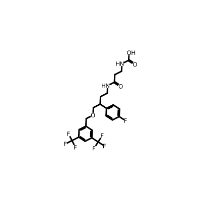 O=C(O)NCCC(=O)NCCC(COCc1cc(C(F)(F)F)cc(C(F)(F)F)c1)c1ccc(F)cc1